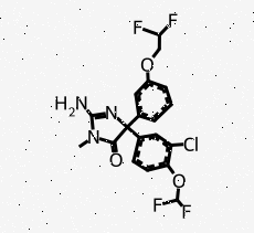 CN1C(=O)C(c2cccc(OCC(F)F)c2)(c2ccc(OC(F)F)c(Cl)c2)N=C1N